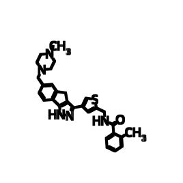 Cc1ccccc1C(=O)NCc1cc(-c2n[nH]c3c2Cc2cc(CN4CCN(C)CC4)ccc2-3)cs1